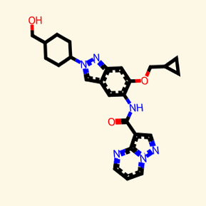 O=C(Nc1cc2cn(C3CCC(CO)CC3)nc2cc1OCC1CC1)c1cnn2cccnc12